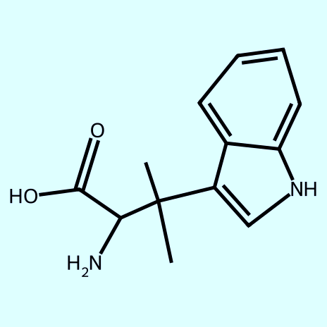 CC(C)(c1c[nH]c2ccccc12)C(N)C(=O)O